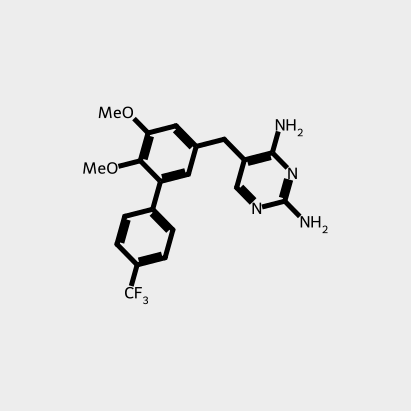 COc1cc(Cc2cnc(N)nc2N)cc(-c2ccc(C(F)(F)F)cc2)c1OC